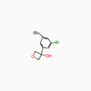 CC(C)(C)c1cc(Br)cc(C2(O)COC2)c1